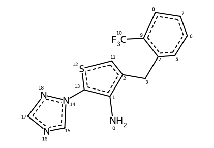 Nc1c(Cc2ccccc2C(F)(F)F)csc1-n1cncn1